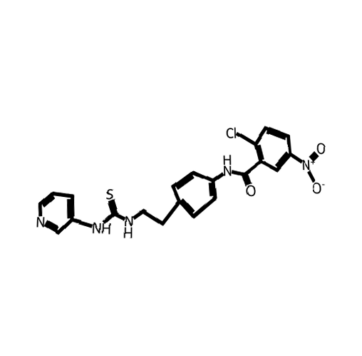 O=C(Nc1ccc(CCNC(=S)Nc2cccnc2)cc1)c1cc([N+](=O)[O-])ccc1Cl